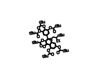 CCCCC(CC)Cn1c(-c2cc(OC(=O)C(C)(C)C)c(OC(=O)C(C)(C)C)c(OC(=O)C(C)(C)C)c2)c(OC(=O)C(C)(C)C)c(=O)c2c(OC(=O)C(C)(C)C)cc(OC(=O)C(C)(C)C)cc21